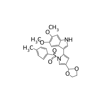 COc1cc2[nH]cc(-c3cc(C4OCCO4)cn3S(=O)(=O)c3ccc(C)cc3)c2cc1OC